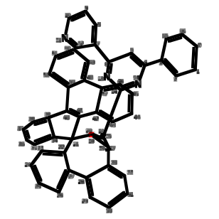 c1ccc(-c2cc(-c3cccnc3)nc(-c3ccc4c(c3)C3(c5ccccc5-c5ccccc5-4)c4ccccc4-c4c3c3ccccc3c3ccccc43)n2)cc1